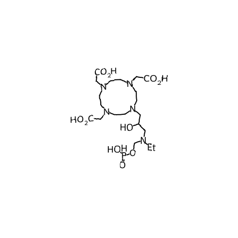 CCN(CO[PH](=O)O)CC(O)CN1CCN(CC(=O)O)CCN(CC(=O)O)CCN(CC(=O)O)CC1